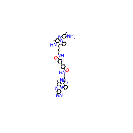 CNc1cc2c(cc1C)N=C1C=C(C)C(N)=CC1N2c1ccccc1CCCCCCNC(=O)c1ccc(-c2ccc(C(=O)NCCCCCCc3ccccc3-[n+]3c4cc(N)c(C)cc4nc4cc(C)c(NC)cc43)cc2)cc1